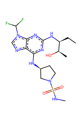 CC[C@H](Nc1nc(N[C@H]2CCN(S(=O)(=O)NC)C2)c2ncn(C(F)F)c2n1)[C@@H](C)O